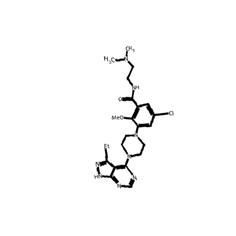 CCc1n[nH]c2ncnc(N3CCN(c4cc(Cl)cc(C(=O)NCCN(C)C)c4OC)CC3)c12